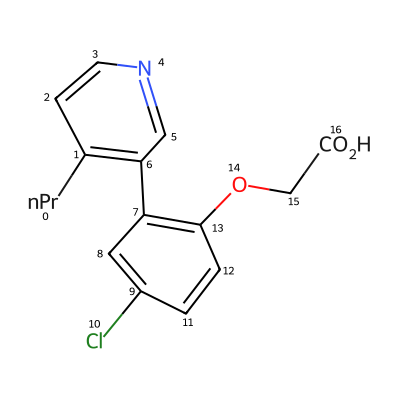 CCCc1ccncc1-c1cc(Cl)ccc1OCC(=O)O